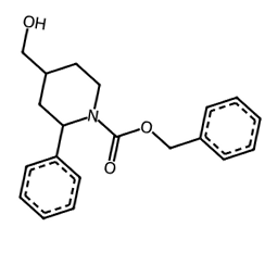 O=C(OCc1ccccc1)N1CCC(CO)CC1c1ccccc1